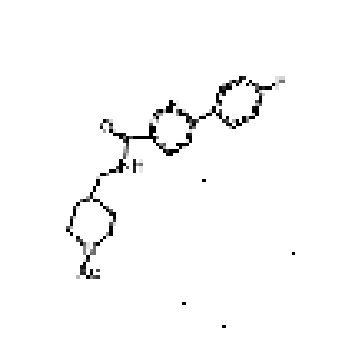 CC(=O)N1CCC(CNC(=O)c2ccc(-c3ccc(F)cc3)nc2)CC1